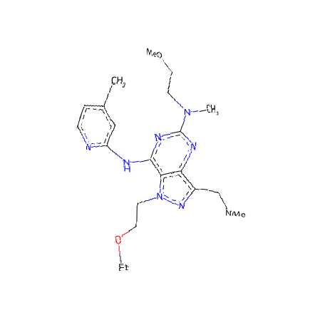 CCOCCn1nc(CNC)c2nc(N(C)CCOC)nc(Nc3cc(C)ccn3)c21